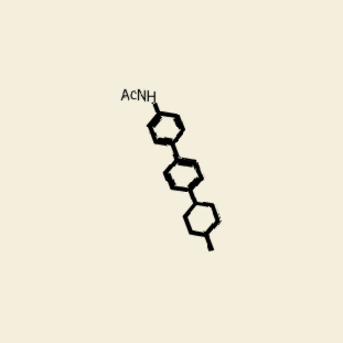 CC(=O)Nc1ccc(-c2ccc(C3CCC(C)CC3)cc2)cc1